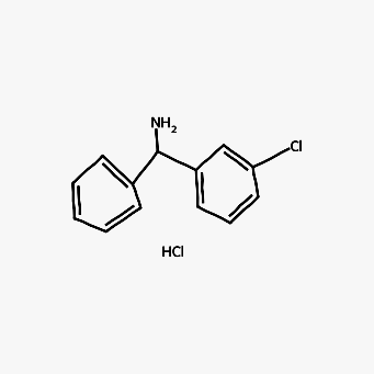 Cl.NC(c1ccccc1)c1cccc(Cl)c1